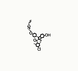 Cc1cc(Cl)cc(C)c1C(=O)c1sc2cc(O)ccc2c1-c1ccc(OCCN2CC(CF)C2)cc1